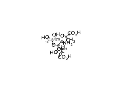 CC(O)C(=O)O.C[C@@H](O[C@@H]1[C@@H](N)[C@@H](O)O[C@H](CO)[C@H]1O)C(=O)O